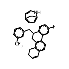 C1=CC2=CC=C(CC2)N1.Fc1ccc2c(c1)-c1ccc3c(c1CC2Cc1cccc(C(F)(F)F)c1)CCC=C3